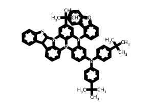 CC(C)(C)c1ccc(N(c2ccc(C(C)(C)C)cc2)c2ccc3c(c2)N(c2cccc4oc5ccccc5c24)c2cc(C(C)(C)C)cc4c2B3c2cccc3c2N4C2Sc4ccccc4C32)cc1